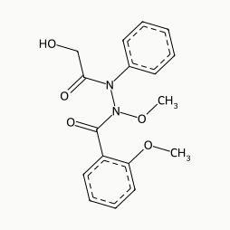 COc1ccccc1C(=O)N(OC)N(C(=O)CO)c1ccccc1